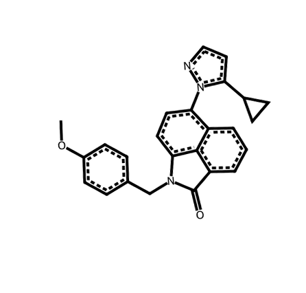 COc1ccc(CN2C(=O)c3cccc4c(-n5nccc5C5CC5)ccc2c34)cc1